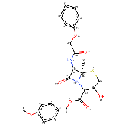 COc1ccc(COC(=O)C2C(O)CS[C@@H]3[C@H](NC(=O)COc4ccccc4)C(=O)N23)cc1